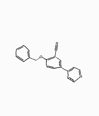 N#Cc1cc(-c2ccncc2)ccc1OCc1ccccc1